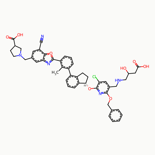 Cc1c(-c2nc3cc(CN4CCC(C(=O)O)C4)cc(C#N)c3o2)cccc1-c1cccc2c1CC[C@@H]2Oc1nc(OCc2ccccc2)c(CNCC(O)CC(=O)O)cc1Cl